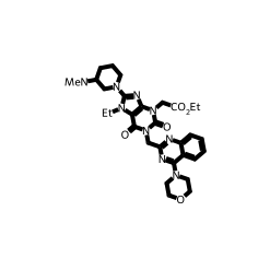 CCOC(=O)Cn1c(=O)n(Cc2nc(N3CCOCC3)c3ccccc3n2)c(=O)c2c1nc(N1CCCC(NC)C1)n2CC